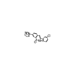 O=c1[nH]c(-c2cccc(Cl)c2)cc2ccc(N3CCN4CCC3CC4)cc12